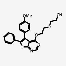 COc1ccc(-c2c(-c3ccccc3)oc3ncnc(OCCOCCC#N)c23)cc1